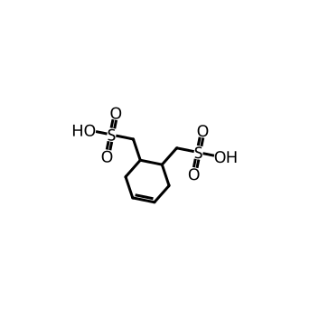 O=S(=O)(O)CC1CC=CCC1CS(=O)(=O)O